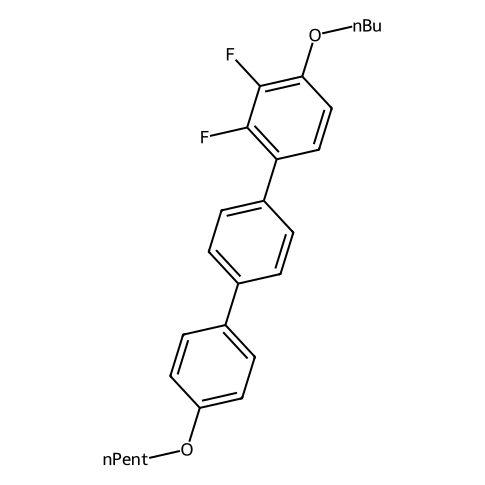 CCCCCOc1ccc(-c2ccc(-c3ccc(OCCCC)c(F)c3F)cc2)cc1